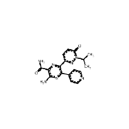 CC(C)n1nc(-c2nc(C(N)=O)c(N)nc2-c2ccncc2)ccc1=O